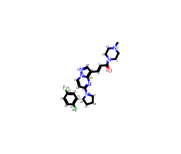 CN1CCN(C(=O)C=Cc2cnn3ccc(N4CCC[C@@H]4c4cc(F)ccc4F)nc23)CC1